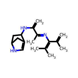 C=C(C)C(/N=C(\C)C(=C)NC1CC2CC1=CN2)=C(C)C